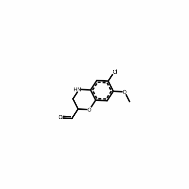 COc1cc2c(cc1Cl)NCC(C=O)O2